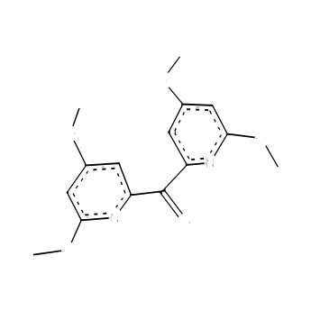 COc1cc(OC)nc(C(=O)c2cc(OC)cc(OC)n2)c1